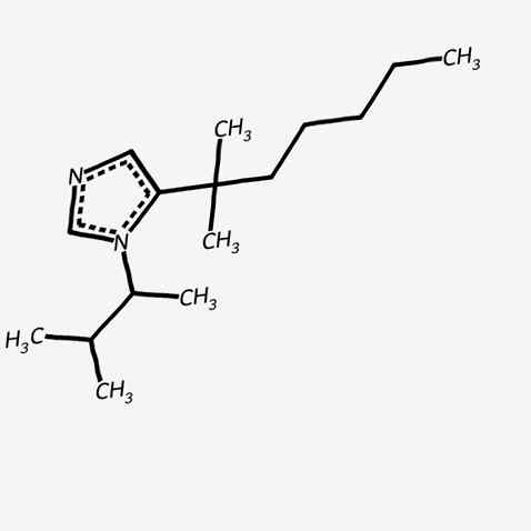 CCCCCC(C)(C)c1cncn1C(C)C(C)C